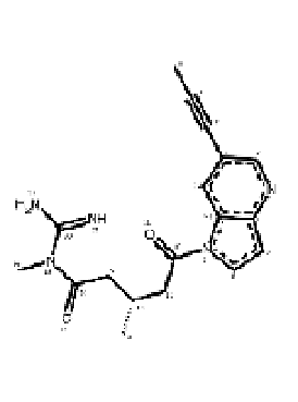 CC#Cc1cnc2ccn(C(=O)C[C@H](C)CC(=O)N(C)C(=N)N)c2c1